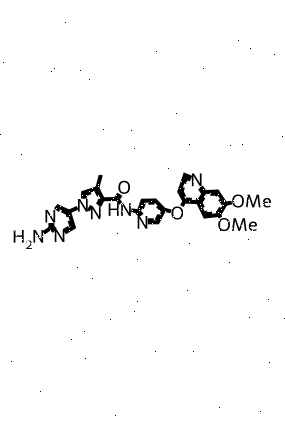 COc1cc2nccc(Oc3ccc(NC(=O)c4nn(-c5cnc(N)nc5)cc4C)nc3)c2cc1OC